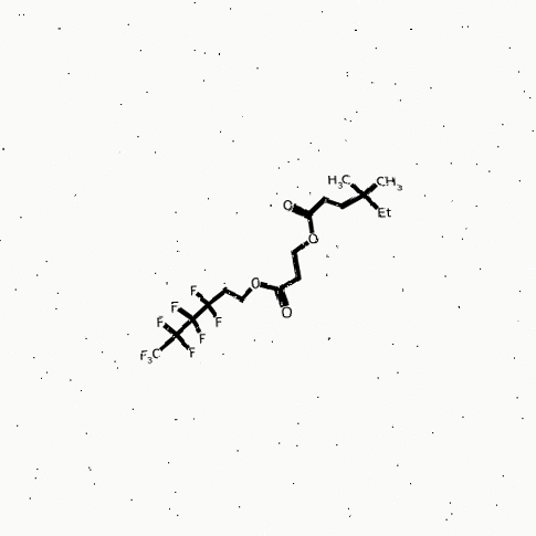 CCC(C)(C)CCC(=O)OCCC(=O)OCCC(F)(F)C(F)(F)C(F)(F)C(F)(F)F